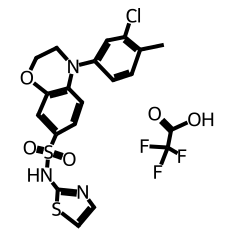 Cc1ccc(N2CCOc3cc(S(=O)(=O)Nc4nccs4)ccc32)cc1Cl.O=C(O)C(F)(F)F